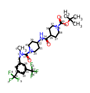 CN(Cc1cc(C(F)(F)F)cc(C(F)(F)F)c1)C(=O)N1CCC(NC(=O)C2CCN(C(=O)OC(C)(C)C)CC2)CC1